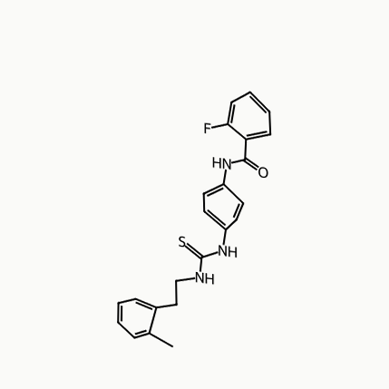 Cc1ccccc1CCNC(=S)Nc1ccc(NC(=O)c2ccccc2F)cc1